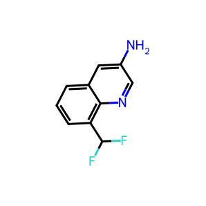 Nc1cnc2c(C(F)F)cccc2c1